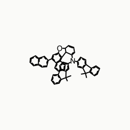 CC1(C)c2ccccc2-c2ccc(N(C3=CC=CC4Oc5cc(-c6ccc7ccccc7c6)c6ccccc6c5C34)c3ccc4c(c3)C(C)(C)c3ccccc3-4)cc21